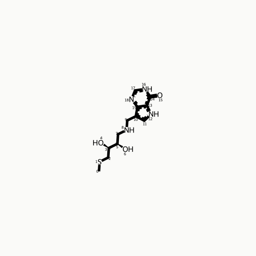 CSC[C@@H](O)[C@H](O)CNCc1c[nH]c2c(=O)[nH]cnc12